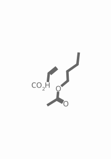 C=CC(=O)O.CCCCOC(C)=O